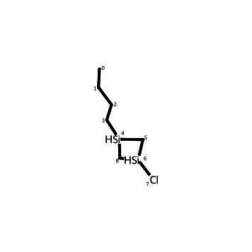 CCCC[SiH]1C[SiH](Cl)C1